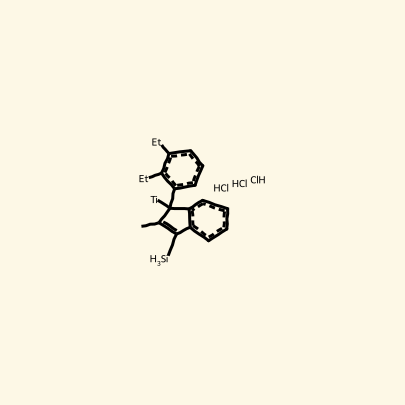 CCc1cccc([C]2([Ti])C(C)=C([SiH3])c3ccccc32)c1CC.Cl.Cl.Cl